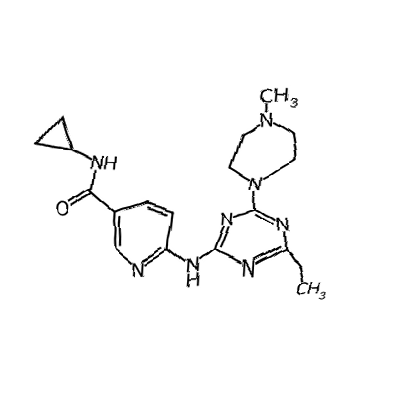 CCc1nc(Nc2ccc(C(=O)NC3CC3)cn2)nc(N2CCN(C)CC2)n1